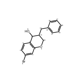 OC1c2ccc(Br)cc2OCC1Cc1ccccc1